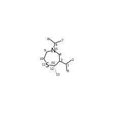 CC(C)C1CN(C(C)C)CCS[C@H]1C